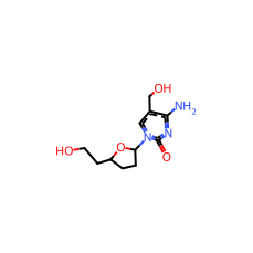 Nc1nc(=O)n(C2CCC(CCO)O2)cc1CO